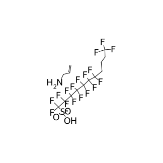 C=CCN.O=S(=O)(O)C(F)(F)C(F)(F)C(F)(F)C(F)(F)C(F)(F)C(F)(F)C(F)(F)CCCC(F)(F)F